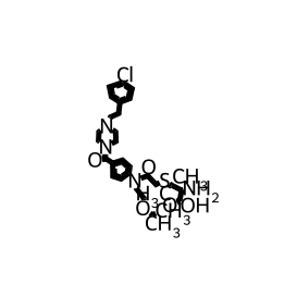 CC(C)OCCN(C(=O)CSC(C)(C)C(N)C(=O)O)c1ccc(C(=O)N2CCN(CCc3ccc(Cl)cc3)CC2)cc1